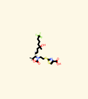 C[C@@H]1OC(=O)N(CCSc2nc(C(=O)O)cs2)[C@H]1/C=C/CC(C)(O)CCCC(F)(F)F